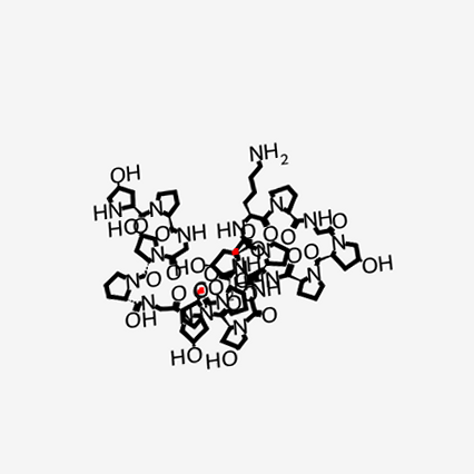 NCCCC[C@H](NC(=O)CNC(=O)[C@@H]1CCCN1C(=O)[C@@H]1C[C@@H](O)CN1C(=O)CNC(=O)[C@@H]1CCCN1C(=O)[C@@H]1C[C@@H](O)CN1C(=O)CNC(=O)[C@@H]1CCCN1C(=O)[C@@H]1C[C@@H](O)CN1)C(=O)N1CCC[C@H]1C(=O)NCC(=O)N1C[C@H](O)C[C@H]1C(=O)N1CCC[C@H]1C(=O)NCC(=O)N1C[C@H](O)C[C@H]1C(=O)N1CCC[C@H]1C(=O)NCC(=O)N1C[C@H](O)C[C@H]1C(=O)N1CCC[C@H]1C(=O)O